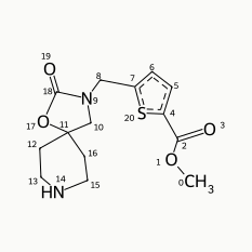 COC(=O)c1ccc(CN2CC3(CCNCC3)OC2=O)s1